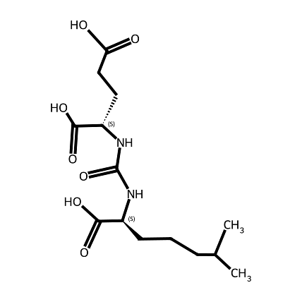 CC(C)CCC[C@H](NC(=O)N[C@@H](CCC(=O)O)C(=O)O)C(=O)O